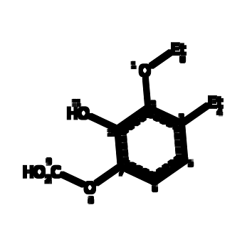 CCOc1c(CC)ccc(OC(=O)O)c1O